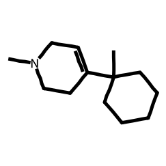 CN1CC=C(C2(C)CCCCC2)CC1